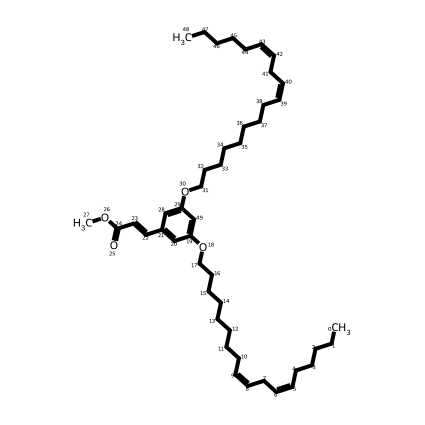 CCCCC/C=C\C/C=C\CCCCCCCCOc1cc(C=CC(=O)OC)cc(OCCCCCCCC/C=C\C/C=C\CCCCC)c1